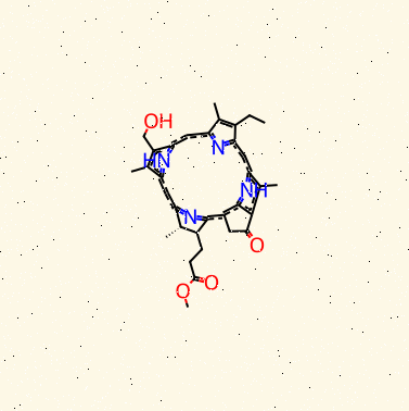 CCC1=C(C)c2cc3[nH]c(cc4nc(c5c6[nH]c(cc1n2)c(C)c6C(=O)C5)C(CCC(=O)OC)[C@@H]4C)c(C)c3CO